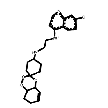 Clc1ccc2c(NCCNC3CCC4(CC3)OOC3CCC=CC3O4)ccnc2c1